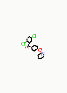 O=C(c1ccc(Oc2ccccn2)cc1)c1cc(Cl)ccc1Cl